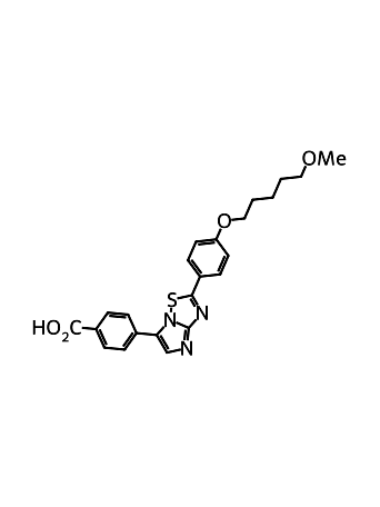 COCCCCCOc1ccc(-c2nc3ncc(-c4ccc(C(=O)O)cc4)n3s2)cc1